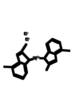 CC1=Cc2c(C)cccc2[CH]1[Hf+2][CH]1C(C)=Cc2c(C)cccc21.[Cl-].[Cl-]